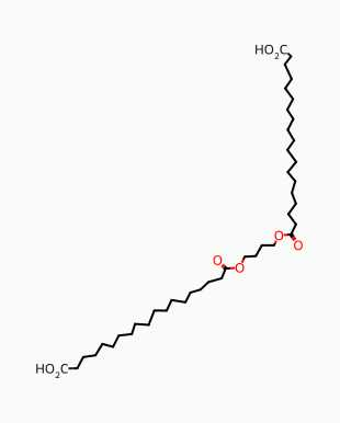 O=C(O)CCCCCCCCCCCCCCCCCC(=O)OCCCCOC(=O)CCCCCCCCCCCCCCCCCC(=O)O